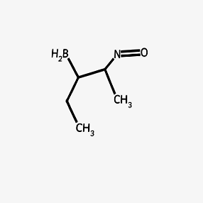 BC(CC)C(C)N=O